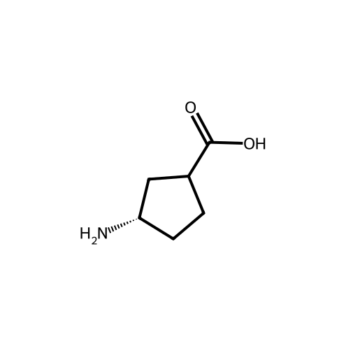 N[C@H]1CCC(C(=O)O)C1